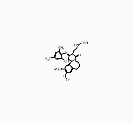 CCOc1cc2c(cc1OC)C1C/C(=N\c3c(C)cc(C)cc3C)N(CCNC=O)C(=O)N1CCC2